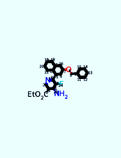 CCOC(=O)c1cnc(-c2cc(OCc3ccccc3)cc3ccccc23)c(F)c1N